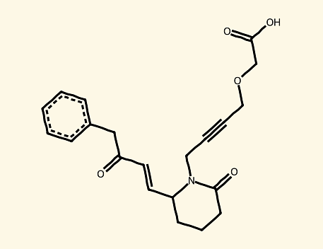 O=C(O)COCC#CCN1C(=O)CCCC1C=CC(=O)Cc1ccccc1